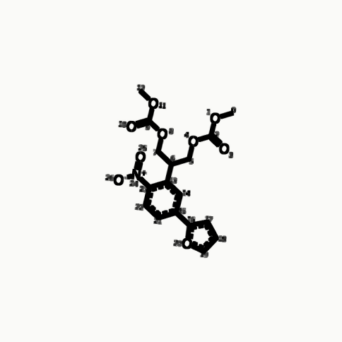 COC(=O)OCC(COC(=O)OC)c1cc(-c2ccco2)ccc1[N+](=O)[O-]